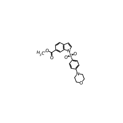 COC(=O)c1ccc2ccn(S(=O)(=O)c3ccc(N4CCOCC4)cc3)c2c1